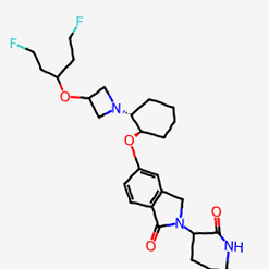 O=C1CCC(N2Cc3cc(O[C@@H]4CCCC[C@H]4N4CC(OC(CCF)CCF)C4)ccc3C2=O)C(=O)N1